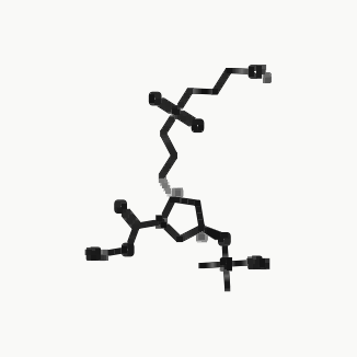 CC(C)(C)OC(=O)N1C[C@H](O[Si](C)(C)C(C)(C)C)C[C@H]1CCCS(=O)(=O)CCCC(F)(F)F